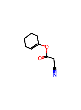 N#CCC(=O)OC1=CCCCC1